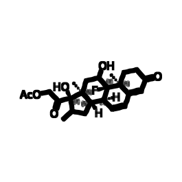 CC(=O)OCC(=O)[C@@]1(O)C(C)C[C@H]2[C@@H]3C=CC4=CC(=O)CC[C@]4(C)[C@@]3(F)C(O)C[C@@]21C